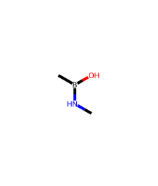 CNB(C)O